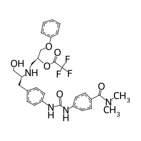 CN(C)C(=O)c1ccc(NC(=O)Nc2ccc(C[C@@H](CO)NC[C@@H](COc3ccccc3)OC(=O)C(F)(F)F)cc2)cc1